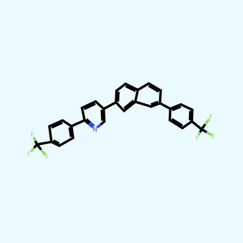 FC(F)(F)c1ccc(-c2ccc3ccc(-c4ccc(-c5ccc(C(F)(F)F)cc5)nc4)cc3c2)cc1